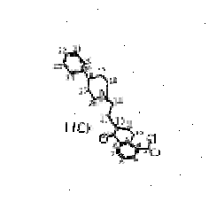 Cl.O=C(Cl)c1cccc2c1CCC(CCN1CCC(c3ccccc3)CC1)C2=O